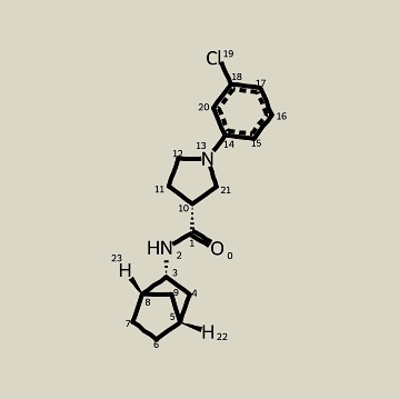 O=C(N[C@@H]1C[C@@H]2CC[C@H]1C2)[C@@H]1CCN(c2cccc(Cl)c2)C1